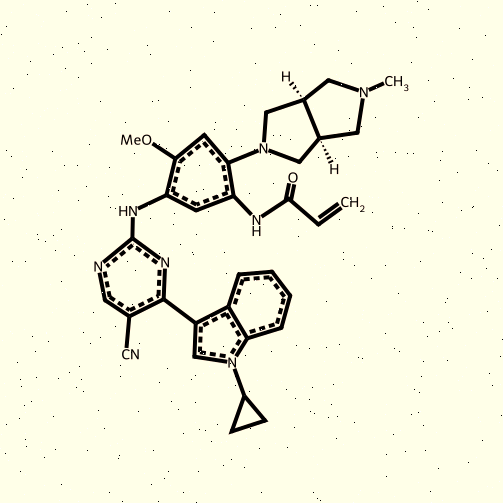 C=CC(=O)Nc1cc(Nc2ncc(C#N)c(-c3cn(C4CC4)c4ccccc34)n2)c(OC)cc1N1C[C@H]2CN(C)C[C@H]2C1